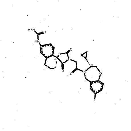 CNC(=O)Nc1ccc2c(c1)CCC[C@@]21OC(=O)N(CC(=O)N2Cc3cc(F)ccc3OC[C@H]2C2CC2)C1=O